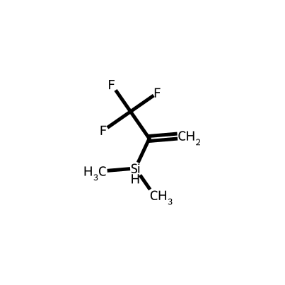 C=C([SiH](C)C)C(F)(F)F